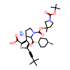 CC(C)(C)C#Cc1cc([C@@]2(N)CCN(C(=O)OC3(C)CCN(C(=O)OC(C)(C)C)C3)C2C(=O)[C@H]2CC[C@H](C)CC2)c(C(=O)O)s1